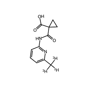 [2H]C([2H])([2H])c1cccc(NC(=O)C2(C(=O)O)CC2)n1